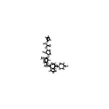 O=C(NC12CC(C1)C2)O[C@@H]1CC[C@H](c2cc(Nc3ncc(N4CCNCC4)c4nccn34)n[nH]2)[C@@H]1F